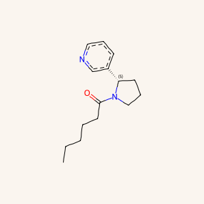 CCCCCC(=O)N1CCC[C@H]1c1cccnc1